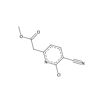 COC(=O)Cc1ccc(C#N)c(Cl)n1